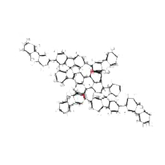 c1ccc2c(c1)-c1c(cc3c4cccc5c6c(cc(c7cccc1c73)c54)C1(c3cc(-c4ccc5sc7ccccc7c5c4)ccc3-c3ccc(-c4ccc5sc7ccccc7c5c4)cc31)c1ccccc1-6)C21c2cc(-c3ccc4sc5ccccc5c4c3)ccc2-c2ccc(-c3ccc4sc5ccccc5c4c3)cc21